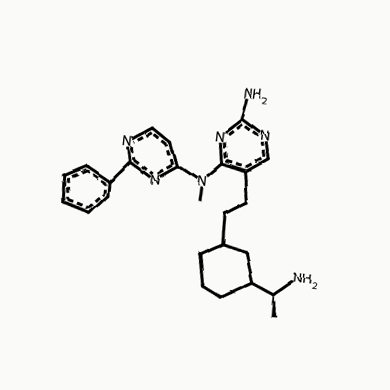 C[C@H](N)C1CCCC(CCc2cnc(N)nc2N(C)c2ccnc(-c3ccccc3)n2)C1